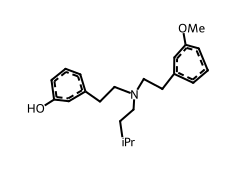 COc1cccc(CCN(CCc2cccc(O)c2)CCC(C)C)c1